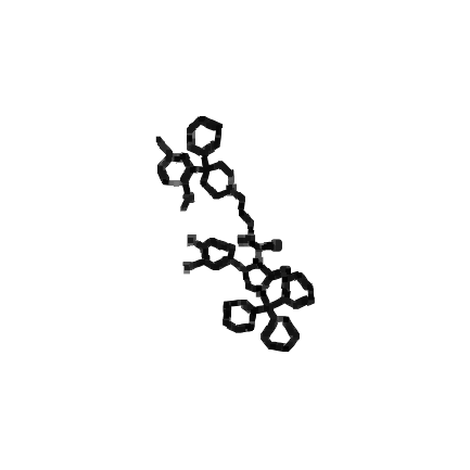 COc1ccc(C)cc1C1(c2ccccc2)CCN(CCCNC(=O)N2C(=O)N(C(c3ccccc3)(c3ccccc3)c3ccccc3)CC2c2ccc(F)c(F)c2)CC1